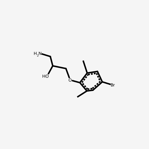 Cc1cc(Br)cc(C)c1OCC(O)CN